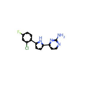 Nc1nccc(-c2ccc(-c3ccc(F)cc3Cl)[nH]2)n1